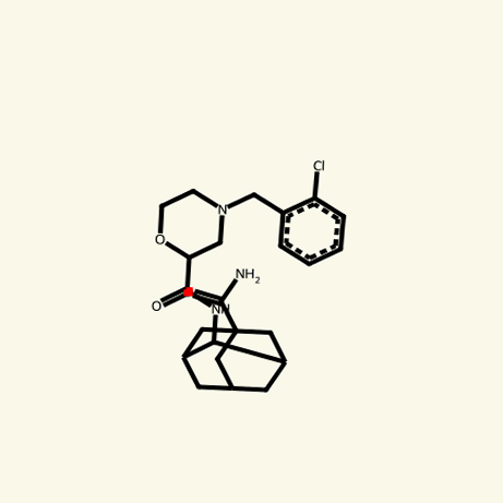 NC(=O)C12CC3CC(C1)C(NC(=O)C1CN(Cc4ccccc4Cl)CCO1)C(C3)C2